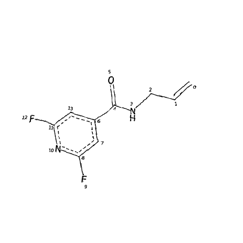 C=CCNC(=O)c1cc(F)nc(F)c1